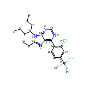 CCCC(CCC)n1c(CC)nc2c(-c3ccc(C(F)(F)F)cc3Cl)ncnc21